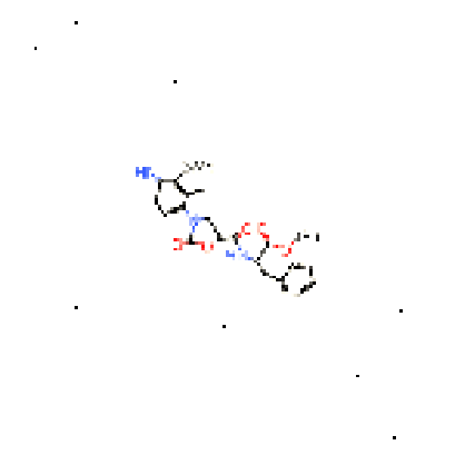 CSC1=C(C)C(N2CC(C(=O)N[C@H](Cc3ccccc3)C(=O)OC(C)(C)C)OC2=O)=CCC1=N